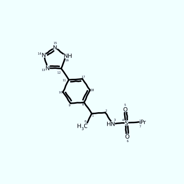 CC(CNS(=O)(=O)C(C)C)c1ccc(-c2nnn[nH]2)cc1